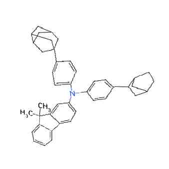 CC1(C)c2ccccc2-c2ccc(N(c3ccc(C4CC5CCC4C5)cc3)c3ccc(C45CC6CC(C4)C(C6)C5)cc3)cc21